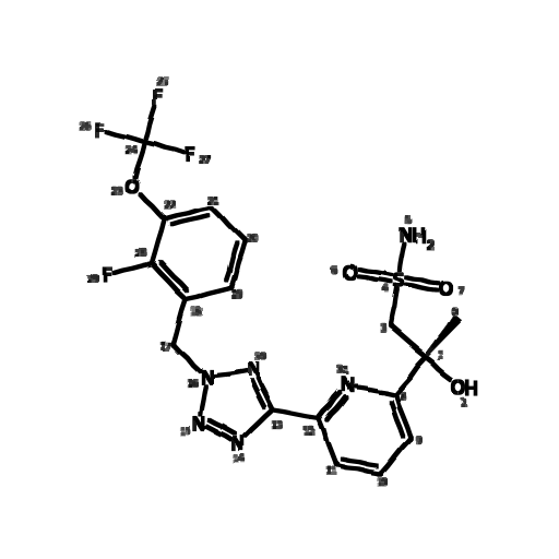 C[C@](O)(CS(N)(=O)=O)c1cccc(-c2nnn(Cc3cccc(OC(F)(F)F)c3F)n2)n1